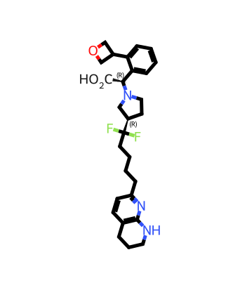 O=C(O)[C@@H](c1ccccc1C1COC1)N1CC[C@@H](C(F)(F)CCCCc2ccc3c(n2)NCCC3)C1